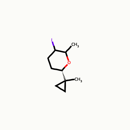 CC1O[C@H](C2(C)CC2)CCC1I